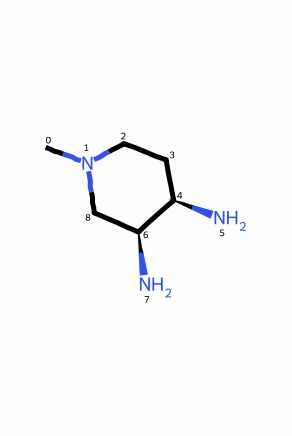 CN1CC[C@@H](N)[C@@H](N)C1